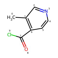 Cc1cnccc1C(=O)Cl